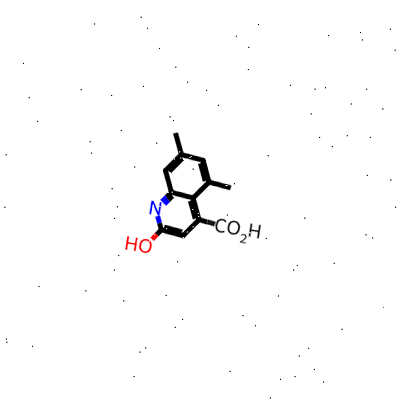 Cc1cc(C)c2c(C(=O)O)cc(O)nc2c1